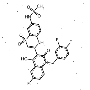 CS(=O)(=O)Nc1ccc2c(c1)S(=O)(=O)C=C(c1c(O)c3cc(F)ccc3n(Cc3ccc(F)c(F)c3)c1=O)N2